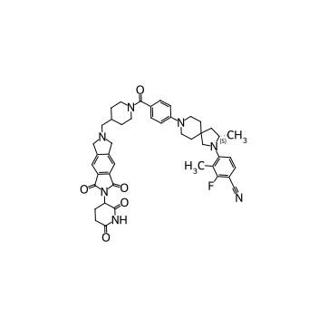 Cc1c(N2CC3(CCN(c4ccc(C(=O)N5CCC(CN6Cc7cc8c(cc7C6)C(=O)N(C6CCC(=O)NC6=O)C8=O)CC5)cc4)CC3)C[C@@H]2C)ccc(C#N)c1F